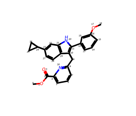 COC(=O)c1cccc(Cc2c(-c3cccc(OC)c3)[nH]c3cc(C4CC4)ccc23)n1